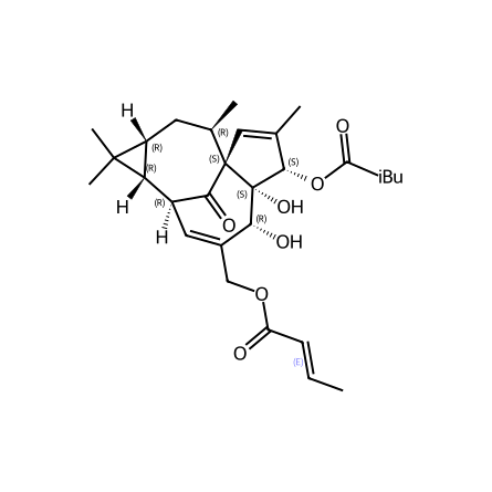 C/C=C/C(=O)OCC1=C[C@@H]2C(=O)[C@]3(C=C(C)[C@H](OC(=O)C(C)CC)[C@@]3(O)[C@@H]1O)[C@H](C)C[C@@H]1[C@H]2C1(C)C